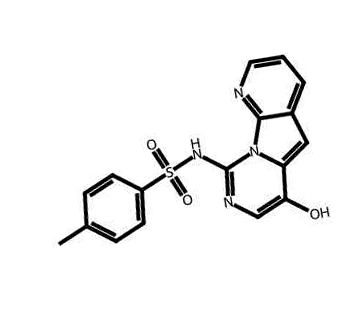 Cc1ccc(S(=O)(=O)Nc2ncc(O)c3cc4cccnc4n23)cc1